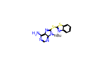 CCCCn1c(Sc2nc3ccccc3s2)nc2c(N)ncnc21